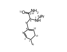 CC1C=CC(CC(NC(C)C)C(N)=O)=CC1